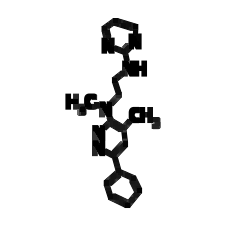 Cc1cc(-c2ccccc2)nnc1N(C)CCNc1ncccn1